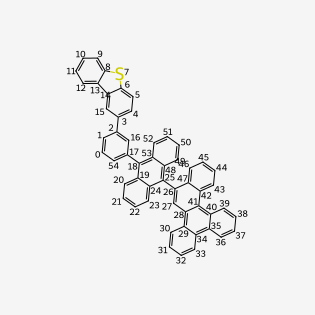 c1cc(-c2ccc3sc4ccccc4c3c2)cc(-c2c3ccccc3c(-c3cc4c5ccccc5c5ccccc5c4c4ccccc34)c3ccccc23)c1